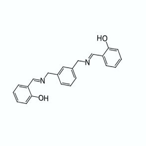 Oc1ccccc1/C=N/Cc1cccc(C/N=C/c2ccccc2O)c1